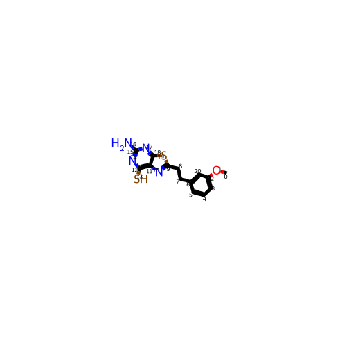 COc1cccc(CCc2nc3c(S)nc(N)nc3s2)c1